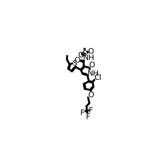 CCc1ccc(-c2cc(-c3ccc(OCCCC(F)(F)F)cc3Cl)[nH]c(=O)c2C(=O)NS(C)(=O)=O)s1